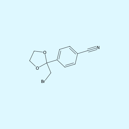 N#Cc1ccc(C2(CBr)OCCO2)cc1